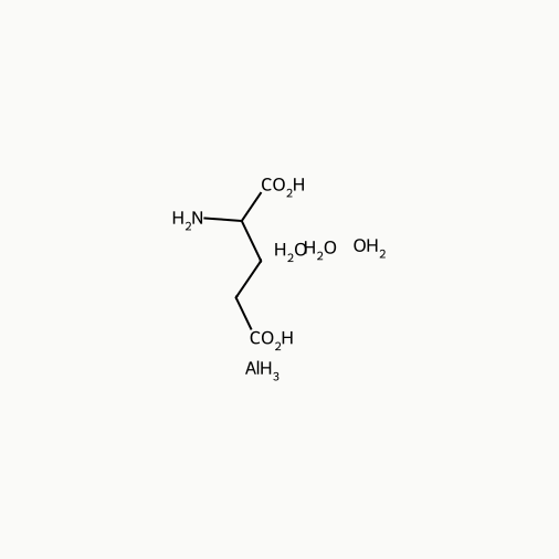 NC(CCC(=O)O)C(=O)O.O.O.O.[AlH3]